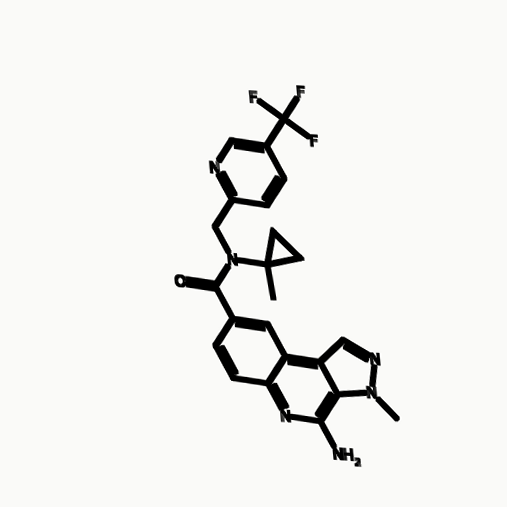 Cn1ncc2c3cc(C(=O)N(Cc4ccc(C(F)(F)F)cn4)C4(C)CC4)ccc3nc(N)c21